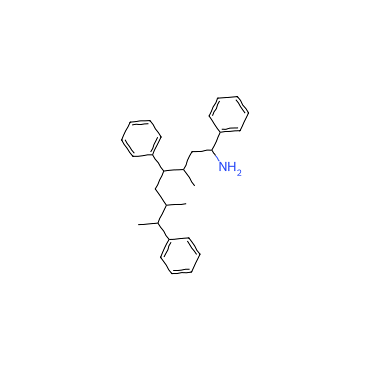 CC(CC(c1ccccc1)C(C)CC(N)c1ccccc1)C(C)c1ccccc1